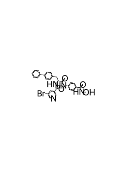 O=C(NO)c1ccc(NC(=O)C(Cc2ccc(-c3ccccc3)cc2)NC(=O)c2cncc(Br)c2)cc1